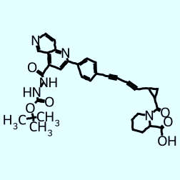 CC(C)(C)OC(=O)NNC(=O)c1cc(-c2ccc(C#CC#CC3CC3C(=O)N3CCCCC3C(=O)O)cc2)nc2ccncc12